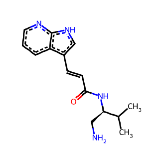 CC(C)[C@@H](CN)NC(=O)/C=C/c1c[nH]c2ncccc12